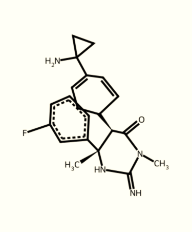 CN1C(=N)N[C@](C)(c2cccc(F)c2)[C@@H](C2C=CC(C3(N)CC3)=CC2)C1=O